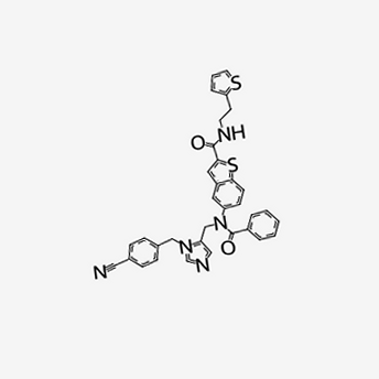 N#Cc1ccc(Cn2cncc2CN(C(=O)c2ccccc2)c2ccc3sc(C(=O)NCCc4cccs4)cc3c2)cc1